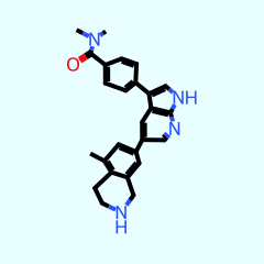 Cc1cc(-c2cnc3[nH]cc(-c4ccc(C(=O)N(C)C)cc4)c3c2)cc2c1CCNC2